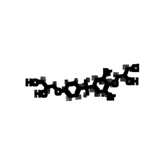 CC(C)(c1ccc(OCC(O)CO)cc1)c1cc(Br)c(OCC(O)CCl)c(Br)c1